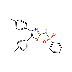 Cc1ccc(-c2nc(NS(=O)(=O)c3ccccc3)sc2-c2ccc(C)cc2)cc1